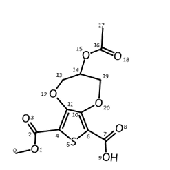 COC(=O)c1sc(C(=O)O)c2c1OCC(OC(C)=O)CO2